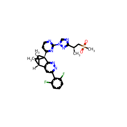 C[C@H](CS(C)(=O)=O)c1ncn(-c2nccc([C@@]34CC[C@@H](c5cc(-c6c(F)cccc6F)nnc53)C4(C)C)n2)n1